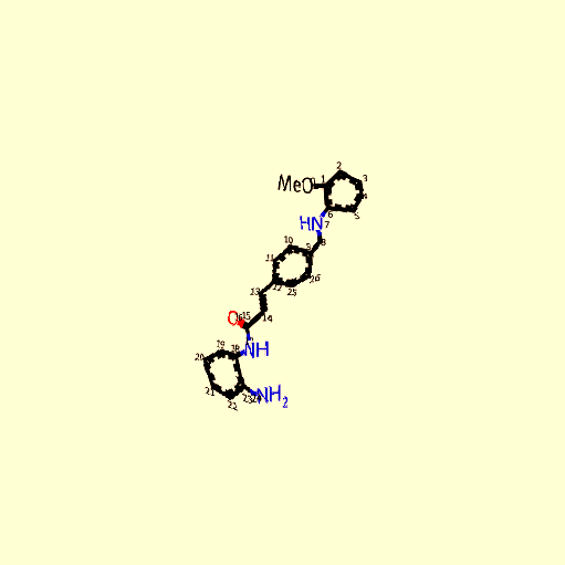 COc1ccccc1NCc1ccc(/C=C/C(=O)Nc2ccccc2N)cc1